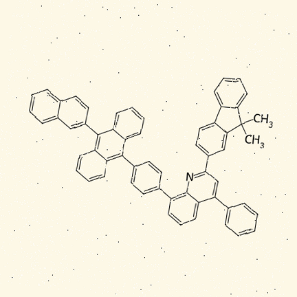 CC1(C)c2ccccc2-c2ccc(-c3cc(-c4ccccc4)c4cccc(-c5ccc(-c6c7ccccc7c(-c7ccc8ccccc8c7)c7ccccc67)cc5)c4n3)cc21